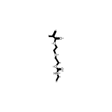 C=C(C)C(=O)OCCOCCOC(=O)NCC